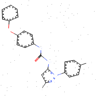 Cc1ccc(-n2nc(C(C)(C)C)cc2NC(=O)Nc2ccc(Oc3ccccc3)cc2)cc1